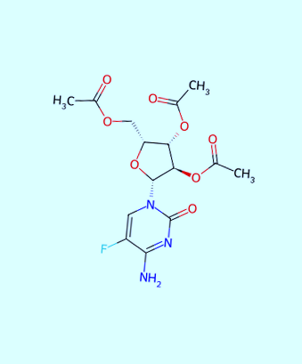 CC(=O)OC[C@H]1O[C@@H](n2cc(F)c(N)nc2=O)[C@H](OC(C)=O)[C@H]1OC(C)=O